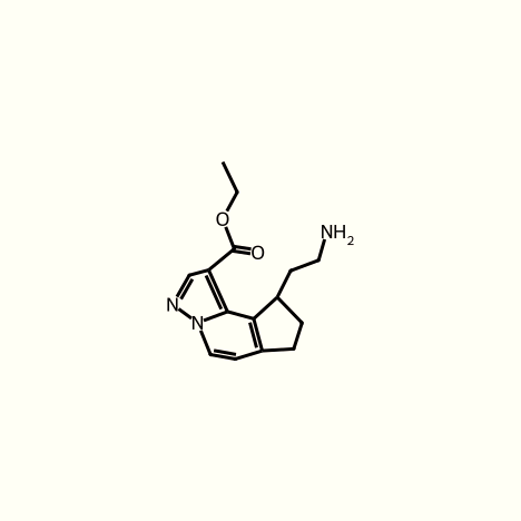 CCOC(=O)c1cnn2ccc3c(c12)C(CCN)CC3